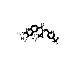 Cc1cc2cc(C(=O)N(Cc3ccc(C(F)(F)F)cn3)C3CC3(C)C)ccc2nc1N